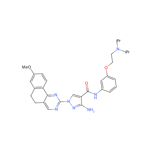 COc1ccc2c(c1)CCc1cnc(-n3cc(C(=O)Nc4cccc(OCCN(C(C)C)C(C)C)c4)c(N)n3)nc1-2